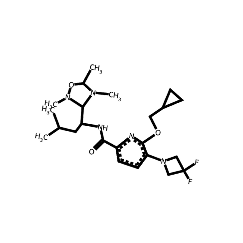 CC(C)CC(NC(=O)c1ccc(N2CC(F)(F)C2)c(OCC2CC2)n1)C1N(C)OC(C)N1C